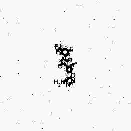 CCc1cc(Oc2cc(N)ncn2)ccc1N1C(=O)CN(c2cc(F)cc(C(F)(F)F)c2)C1=O